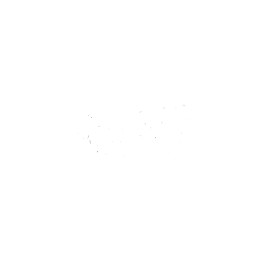 CC1(C)Cc2cccc(C(=O)N3CC[C@]4(C=C(N)C(=O)C(C)(C)C4)C3)c2O1